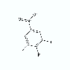 O=[N+]([O-])c1cc(I)c(F)c(I)c1